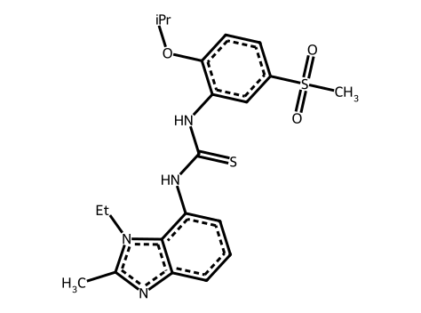 CCn1c(C)nc2cccc(NC(=S)Nc3cc(S(C)(=O)=O)ccc3OC(C)C)c21